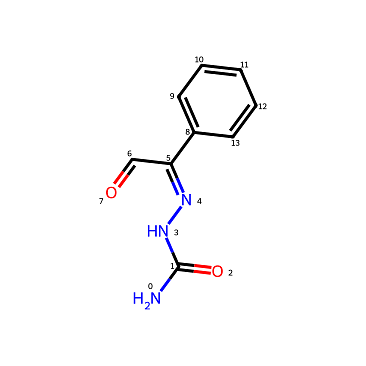 NC(=O)NN=C(C=O)c1ccccc1